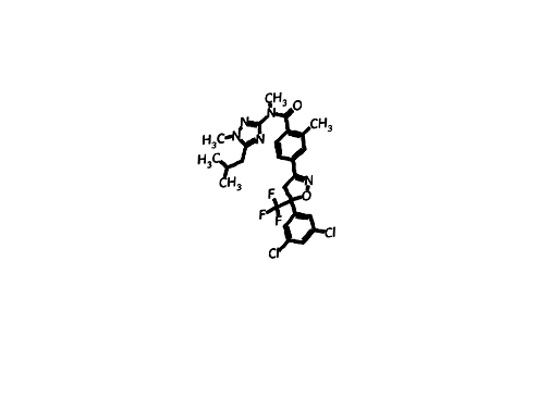 Cc1cc(C2=NOC(c3cc(Cl)cc(Cl)c3)(C(F)(F)F)C2)ccc1C(=O)N(C)c1nc(CC(C)C)n(C)n1